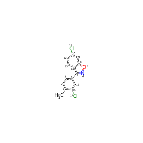 Cc1ccc(-c2noc3cc(Cl)ccc23)cc1Cl